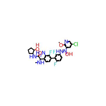 CNC(C(=O)NC1CCCC1O)c1ccc(-c2c(F)ccc(NN(O)c3cc(Cl)cnc3OC)c2F)c(F)c1N